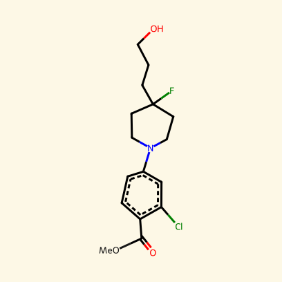 COC(=O)c1ccc(N2CCC(F)(CCCO)CC2)cc1Cl